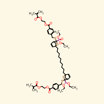 C=C(C)C(=O)OCCOC(=O)c1ccc(CSC2(P(OCC)OCC)SC3(CCCCCCCCCCC45C=CC(C4)C(SCc4ccc(C(=O)OCCOC(=O)C(=C)C)cc4)(P(=O)(OCC)OCC)S5)C=CC2C3)cc1